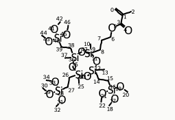 C=C(C)C(=O)OCCC[Si]1(C)O[Si](C)(CC[Si](OC)(OC)OC)O[Si](C)(CC[Si](OC)(OC)OC)O[Si](C)(CC[Si](OC)(OC)OC)O1